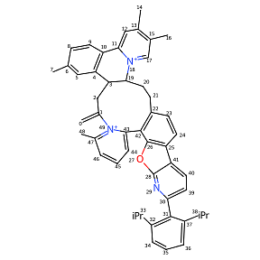 C=C1CC2c3cc(C)ccc3-c3cc(C)c(C)c[n+]3C2CCc2ccc3c(oc4nc(-c5c(C(C)C)cccc5C(C)C)ccc43)c2-c2cccc(C)[n+]21